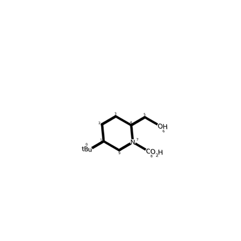 CC(C)(C)C1CCC(CO)N(C(=O)O)C1